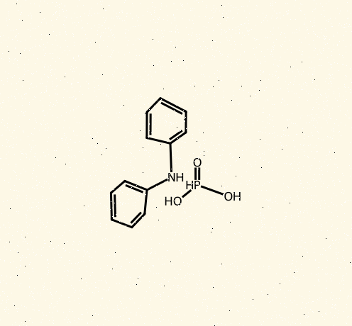 O=[PH](O)O.c1ccc(Nc2ccccc2)cc1